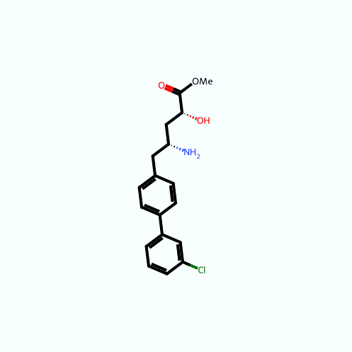 COC(=O)[C@H](O)C[C@H](N)Cc1ccc(-c2cccc(Cl)c2)cc1